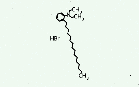 Br.CCCCCCCCCCCCCCCCc1ccccc1N(CC)CC